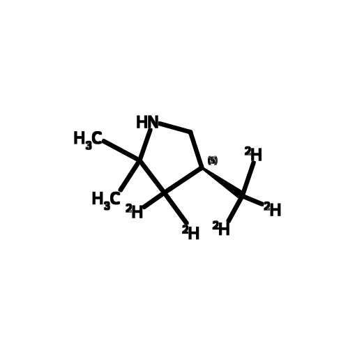 [2H]C([2H])([2H])[C@@H]1CNC(C)(C)C1([2H])[2H]